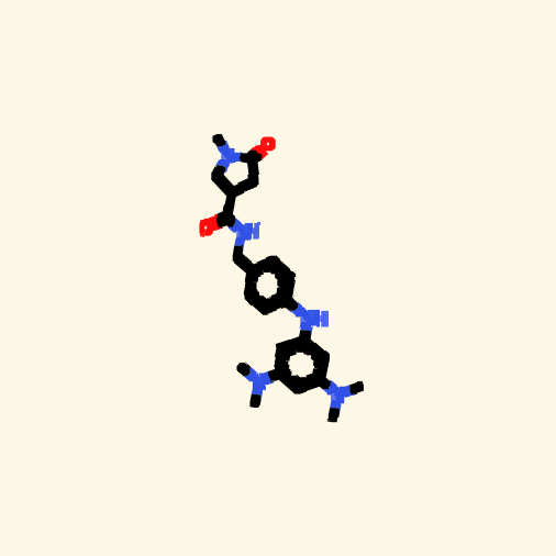 CN1CC(C(=O)NCc2ccc(Nc3cc(N(C)C)cc(N(C)C)c3)cc2)CC1=O